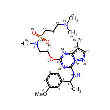 COc1cccc(C(C)Nc2nc(OCCN(C)S(=O)(=O)CCCN(C)C)nc3c(C(C)C)cnn23)c1